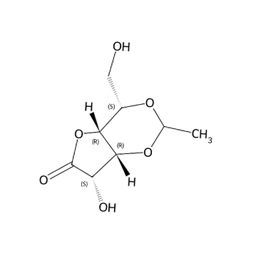 CC1O[C@H]2[C@H](OC(=O)[C@H]2O)[C@H](CO)O1